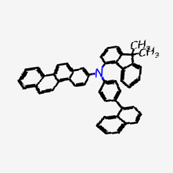 CC1(C)c2ccccc2-c2c(N(c3ccc(-c4cccc5ccccc45)cc3)c3ccc4c(ccc5c6ccccc6ccc45)c3)cccc21